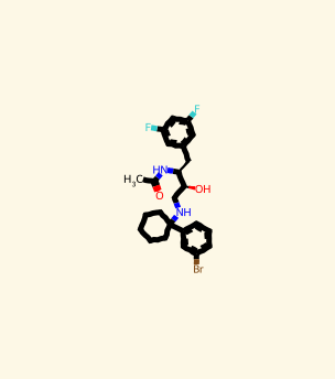 CC(=O)N[C@@H](Cc1cc(F)cc(F)c1)[C@@H](O)CNC1(c2cccc(Br)c2)CCCCC1